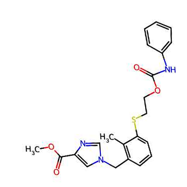 COC(=O)c1cn(Cc2cccc(SCCOC(=O)Nc3ccccc3)c2C)cn1